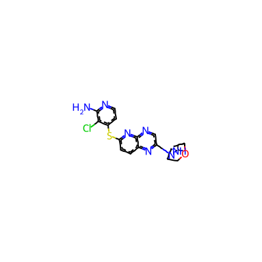 Nc1nccc(Sc2ccc3nc(N4CC5CNCC4CO5)cnc3n2)c1Cl